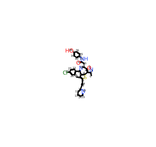 Cc1noc2c1-c1sc(C#Cc3ccccn3)c(C)c1C(c1ccc(Cl)cc1)=N[C@H]2CC(=O)Nc1ccc(O)cc1